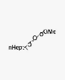 CCCCCCCC(C)COCCOCCOCOC